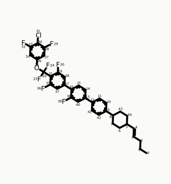 CCC/C=C/C1CCC(c2ccc(-c3ccc(-c4cc(F)c(C(F)(F)Oc5cc(F)c(Cl)c(F)c5)c(F)c4)c(F)c3)cc2)CC1